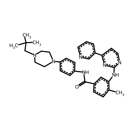 Cc1ccc(C(=O)Nc2ccc(N3CCN(CC(C)(C)C)CC3)cc2)cc1Nc1nccc(-c2cccnc2)n1